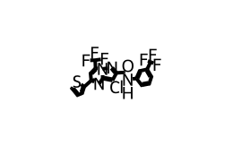 O=C(Nc1cccc(C(F)(F)F)c1)c1nn2c(C(F)(F)F)cc(-c3cccs3)nc2c1Cl